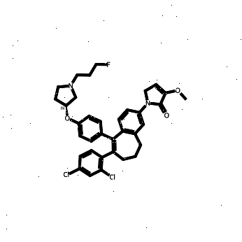 COC1=CCN(c2ccc3c(c2)CCCC(c2ccc(Cl)cc2Cl)=C3c2ccc(O[C@H]3CCN(CCCF)C3)cc2)C1=O